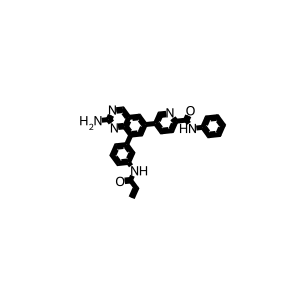 C=CC(=O)Nc1cccc(-c2cc(-c3ccc(C(=O)Nc4ccccc4)nc3)cc3cnc(N)nc23)c1